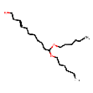 CCCCCCOC(CCCCCC/C=C/CCO)OCCCCCC